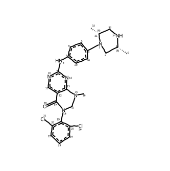 C[C@@H]1CN(c2ccc(Nc3ncc4c(n3)N(C)CN(c3c(Cl)cccc3Cl)C4=O)cc2)[C@H](C)CN1